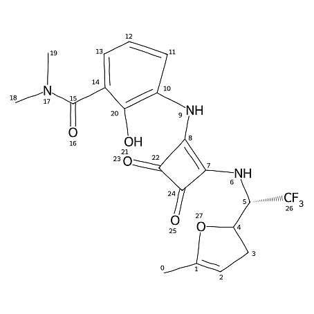 CC1=CCC([C@H](Nc2c(Nc3cccc(C(=O)N(C)C)c3O)c(=O)c2=O)C(F)(F)F)O1